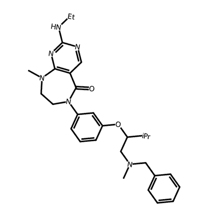 CCNc1ncc2c(n1)N(C)CCN(c1cccc(OC(CN(C)Cc3ccccc3)C(C)C)c1)C2=O